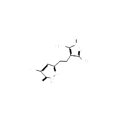 Cc1nn(C)c(C)c1CCc1cc(O)c(=O)[nH]n1